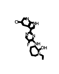 CCN1CCCC[C@H](Nc2nc(-c3c[nH]c4ncc(Cl)cc34)ncc2F)C1O